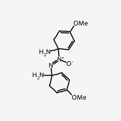 COC1=CCC(N)(N=[N+]([O-])C2(N)C=CC(OC)=CC2)C=C1